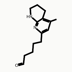 Cc1cc(CCCCC=O)nc2c1CCCN2